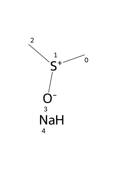 C[S+](C)[O-].[NaH]